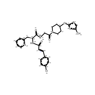 Cc1cnc(OC2CCN(C(=O)CNC(=O)[C@H](Cc3ccccn3)NC(=O)/C=C/c3ccc(Cl)cc3)CC2)s1